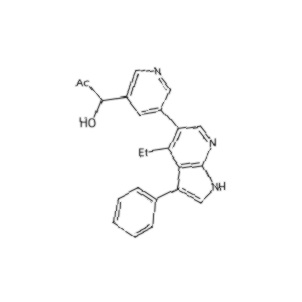 CCc1c(-c2cncc(C(O)C(C)=O)c2)cnc2[nH]cc(-c3ccccc3)c12